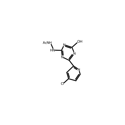 CC(=O)NNc1nc(O)nc(-c2cc(Cl)ccn2)n1